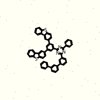 c1ccc(-c2cccc(-c3cccc(-c4nc(-c5ccccc5)nc(-c5cc(-c6ccc7sc8ccccc8c7c6)cc(-c6ccc7sc8ccccc8c7c6)c5)n4)c3)c2)cc1